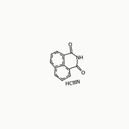 C#N.O=C1NC(=O)c2cccc3cccc1c23